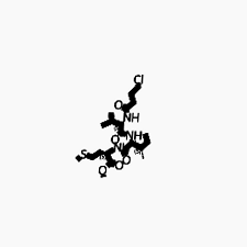 CC[C@H](C)[C@H](NC(=O)[C@@H](NC(=O)CCCCl)C(C)C)C(=O)N[C@@H](CCSC)C(=O)OC